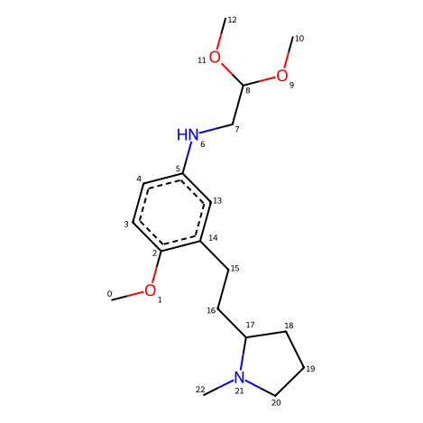 COc1ccc(NCC(OC)OC)cc1CCC1CCCN1C